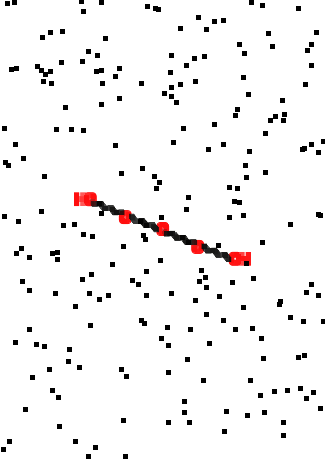 OCCCCCCOCCCCCCOCCCCCCOCCCCCCO